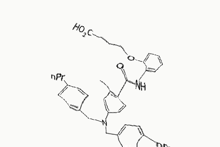 CCCc1ccc(CN(Cc2ccc(CCC)cc2)c2ccc(C(=O)Nc3ccccc3OCCCC(=O)O)c(C)c2)cc1